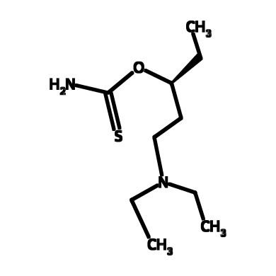 CC[C@@H](CCN(CC)CC)OC(N)=S